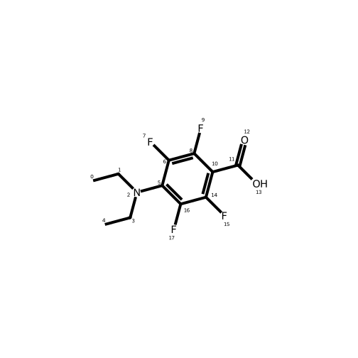 CCN(CC)c1c(F)c(F)c(C(=O)O)c(F)c1F